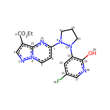 CCOC(=O)c1cnn2ccc(N3CCCN3c3cc(F)cnc3O)nc12